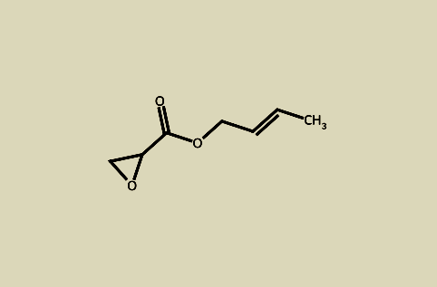 CC=CCOC(=O)C1CO1